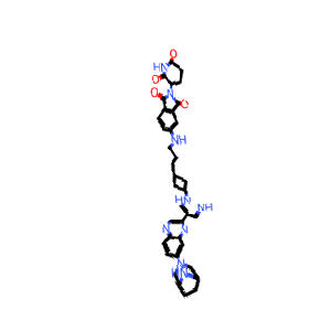 N=C/C(=C\NC1CC(CCCNc2ccc3c(c2)C(=O)N(C2CCC(=O)NC2=O)C3=O)C1)c1cnc2ccc(N3CC4CCC(C3)N4)cc2n1